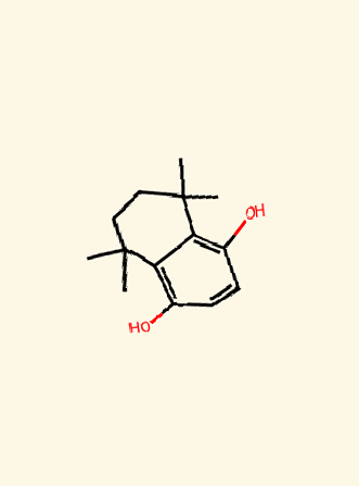 CC1(C)CCC(C)(C)c2c(O)ccc(O)c21